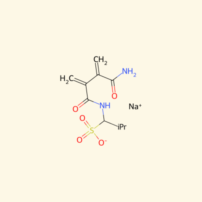 C=C(C(=C)C(=O)NC(C(C)C)S(=O)(=O)[O-])C(N)=O.[Na+]